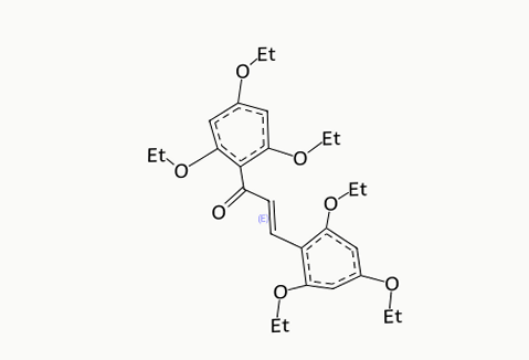 CCOc1cc(OCC)c(/C=C/C(=O)c2c(OCC)cc(OCC)cc2OCC)c(OCC)c1